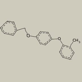 Cc1c[c]ccc1Oc1ccc(OCc2ccccc2)cc1